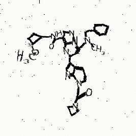 CO[C@H]1CCC1NC(=O)c1cnn2c(N(C)Cc3ccccc3)cc(-c3cnc4n(CC(=O)N5CCC5)cccc3-4)nc12